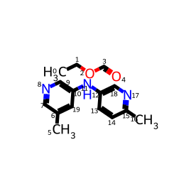 CCOC=O.Cc1cncc(Nc2ccc(C)nc2)c1